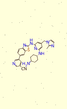 Cc1nccn1Cc1cc(Nc2nc3ccc(-c4cncc(C#N)c4)cc3s2)nc(N[C@H]2CC[C@H](N)CC2)c1